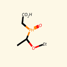 CCOC(C)[PH](=O)CC(=O)O